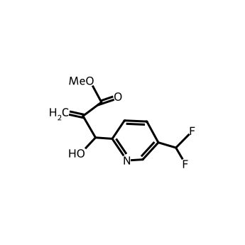 C=C(C(=O)OC)C(O)c1ccc(C(F)F)cn1